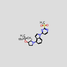 CC(C)(C)[Si](C)(C)OC1CCN(c2cccc3c2ccn3-c2ccnc(S(C)(=O)=O)n2)C1